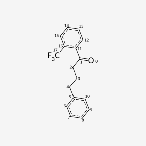 O=C(CCCc1ccccc1)c1ccccc1C(F)(F)F